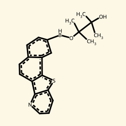 CC(C)(O)C(C)(C)OBc1ccc2ccc3c4ncccc4sc3c2c1